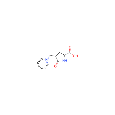 O=C1NC(C(=O)O)CC1C[n+]1ccccc1